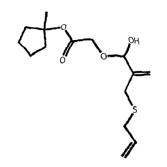 C=CCSCC(=C)C(O)OCC(=O)OC1(C)CCCC1